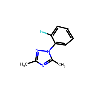 Cc1nc(C)n(-c2cc[c]cc2F)n1